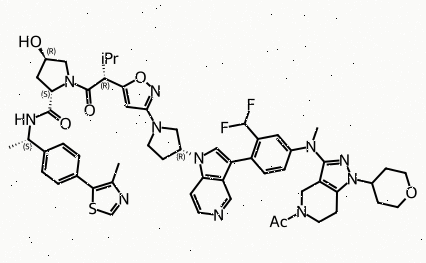 CC(=O)N1CCc2c(c(N(C)c3ccc(-c4cn([C@@H]5CCN(c6cc([C@H](C(=O)N7C[C@H](O)C[C@H]7C(=O)N[C@@H](C)c7ccc(-c8scnc8C)cc7)C(C)C)on6)C5)c5ccncc45)c(C(F)F)c3)nn2C2CCOCC2)C1